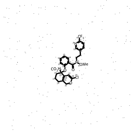 CON(CCc1ccc(C(F)(F)F)nc1)C(=O)c1ccccc1OC1(C(=O)O)CCCC2=C1C=C(Cl)OC2